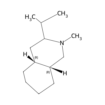 CC(C)C1C[C@H]2CCCC[C@H]2CN1C